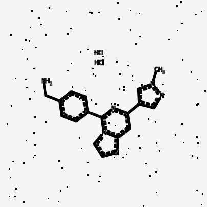 Cl.Cl.Cn1cc(-c2cc3nccn3c(-c3ccc(CN)cc3)n2)cn1